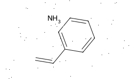 C=Cc1ccccc1.N